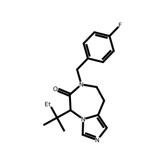 CCC(C)(C)C1C(=O)N(Cc2ccc(F)cc2)CCc2cncn21